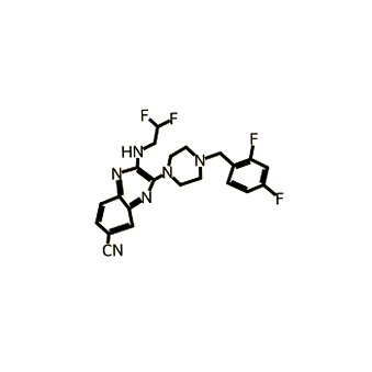 N#Cc1ccc2nc(NCC(F)F)c(N3CCN(Cc4ccc(F)cc4F)CC3)nc2c1